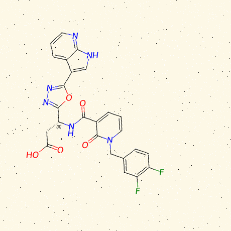 O=C(O)C[C@@H](NC(=O)c1cccn(Cc2ccc(F)c(F)c2)c1=O)c1nnc(-c2c[nH]c3ncccc23)o1